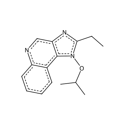 CCc1nc2cnc3ccccc3c2n1OC(C)C